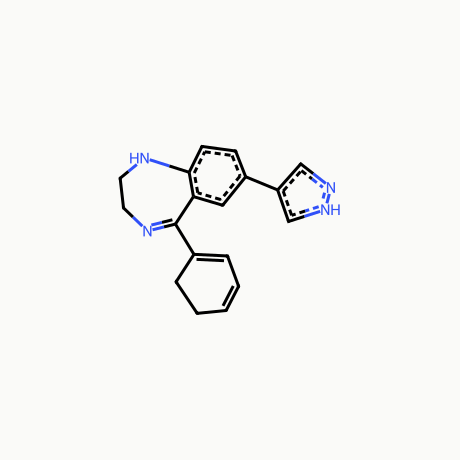 C1=CCCC(C2=NCCNc3ccc(-c4cn[nH]c4)cc32)=C1